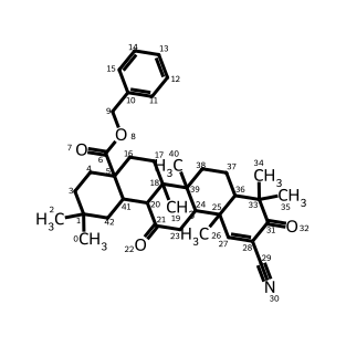 CC1(C)CCC2(C(=O)OCc3ccccc3)CCC3(C)C(C(=O)CC4C5(C)C=C(C#N)C(=O)C(C)(C)C5CCC43C)C2C1